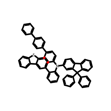 c1ccc(-c2ccc(-c3ccc(N(c4ccc5c(c4)C(c4ccccc4)(c4ccccc4)c4ccccc4-5)c4ccccc4-c4ccc5sc6ccccc6c5c4)cc3)cc2)cc1